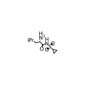 CC(C)C[C@H](N)C(=O)NS(=O)(=O)C1CC1